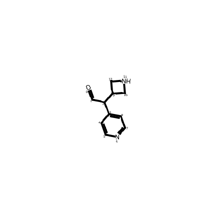 O=CC(c1ccncc1)C1CNC1